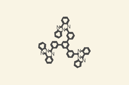 c1cc(-c2cc(-c3cccc(-c4nc5ccccc5c5nc6ccccc6n45)c3)cc(-c3cccc(-c4nc5ccccc5c5nc6ccccc6n45)c3)c2)cc(-c2nc3ccccc3c3nc4ccccc4n23)c1